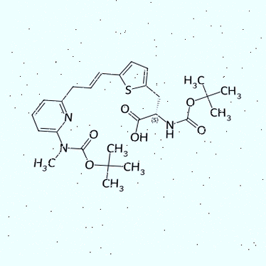 CN(C(=O)OC(C)(C)C)c1cccc(CC=Cc2ccc(C[C@H](NC(=O)OC(C)(C)C)C(=O)O)s2)n1